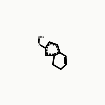 CCCCOc1ccc2c(c1)CC[C]=C2